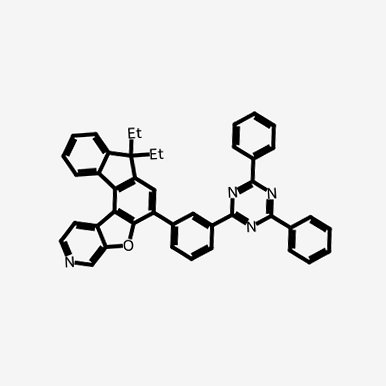 CCC1(CC)c2ccccc2-c2c1cc(-c1cccc(-c3nc(-c4ccccc4)nc(-c4ccccc4)n3)c1)c1oc3cnccc3c21